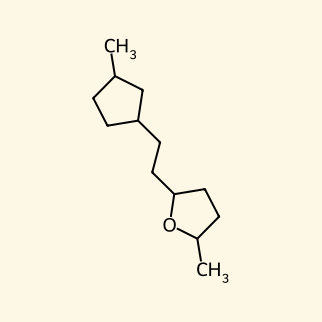 CC1CCC(CCC2CCC(C)O2)C1